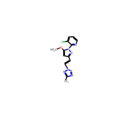 O=C(O)Oc1cc(/C=C/n2nnc(C(F)(F)F)n2)nn1-c1ncccc1Cl